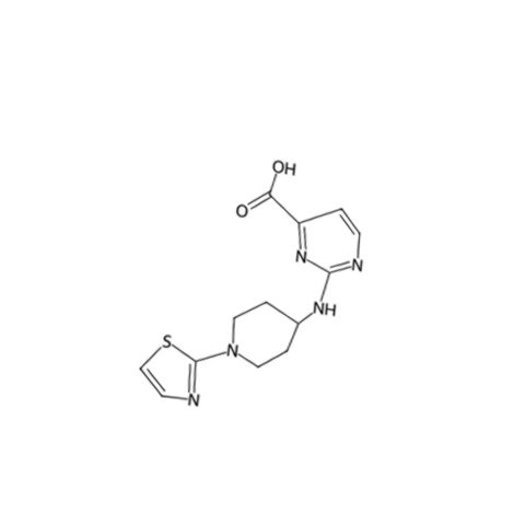 O=C(O)c1ccnc(NC2CCN(c3nccs3)CC2)n1